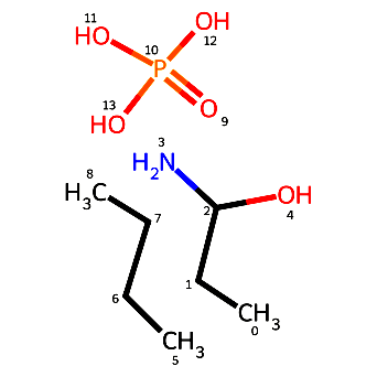 CCC(N)O.CCCC.O=P(O)(O)O